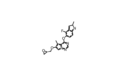 Cc1c(OC[C@H]2CO2)cn2ncnc(Oc3ccc4c(c3F)=CC(C)N=4)c12